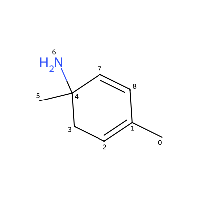 CC1=CCC(C)(N)C=C1